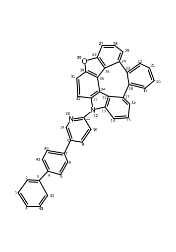 c1ccc(-c2ccc(-c3ccc(-n4c5cccc6c7ccccc7c7cccc8oc9ccc4c(c9c87)c65)nc3)cc2)cc1